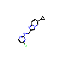 Clc1ccnc(NCc2cn3cc(C4CC4)ccc3n2)n1